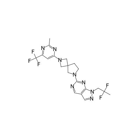 Cc1nc(N2CC3(CCN(c4ncc5cnn(CC(C)(F)F)c5n4)C3)C2)cc(C(F)(F)F)n1